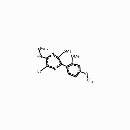 CCCCCNc1nc(SC)c(-c2ccc(OC(F)(F)F)cc2OC)nc1CC